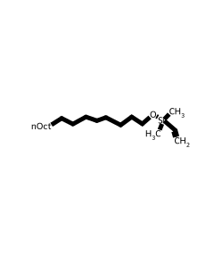 C=C[Si](C)(C)OCCCCCCCCCCCCCCCC